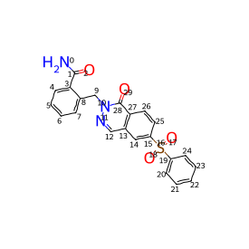 NC(=O)c1ccccc1Cn1ncc2cc(S(=O)(=O)c3ccccc3)ccc2c1=O